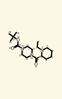 CCN1CCCC[C@H]1C(=O)N1CCN(C(=O)OC(C)(C)C)CC1